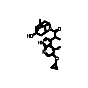 CC(C(=O)N1C2CC3(C)CC1CC(O)(C2)C3)c1c[nH]c2ncc(OC3CC3)c(F)c12